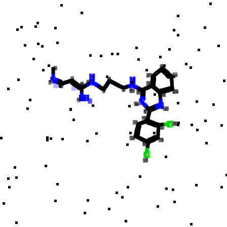 C/N=C\C=C(/N)NCCCNc1nc(-c2ccc(Cl)cc2Cl)nc2ccccc12